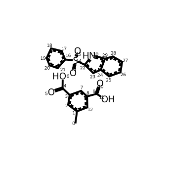 Cc1cc(C(=O)O)cc(C(=O)O)c1.O=S(=O)(c1ccccc1)c1cc2ccccc2[nH]1